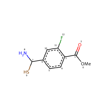 COC(=O)c1ccc(C(N)S)cc1F